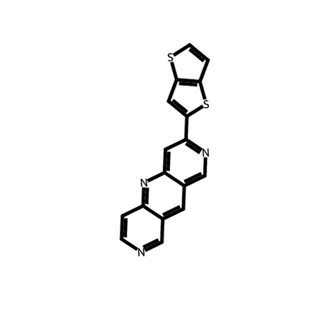 c1cc2nc3cc(-c4cc5sccc5s4)ncc3cc2cn1